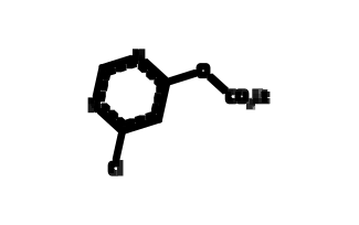 CCOC(=O)Oc1cc(Cl)ncn1